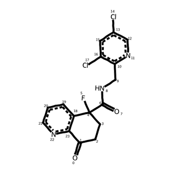 O=C1CCC(F)(C(=O)NCc2ncc(Cl)cc2Cl)c2cccnc21